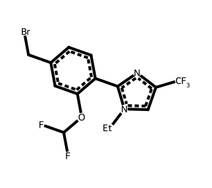 CCn1cc(C(F)(F)F)nc1-c1ccc(CBr)cc1OC(F)F